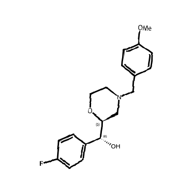 COc1ccc(CN2CCO[C@H]([C@H](O)c3ccc(F)cc3)C2)cc1